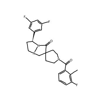 Cc1c(F)cccc1C(=O)N1CCC2(CC1)CN1CC[C@@H](c3cc(F)cc(F)c3)N1C2=O